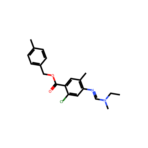 CCN(C)/C=N/c1cc(Cl)c(C(=O)OCc2ccc(C)cc2)cc1C